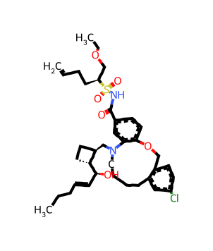 C=CCC[C@@H](COCC)S(=O)(=O)NC(=O)c1ccc2c(c1)N(C[C@@H]1CC[C@H]1[C@@H](O)/C=C/CCC)CCCCc1cc(Cl)ccc1CO2